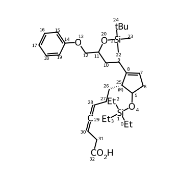 CC[Si](CC)(CC)OC1CC=C(CCC(COc2ccccc2)O[Si](C)(C)C(C)(C)C)[C@H]1CCC=C=CCC(=O)O